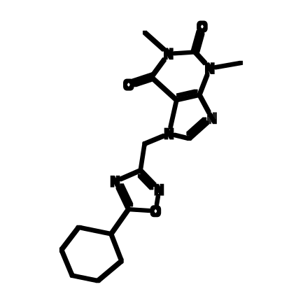 Cn1c(=O)c2c(ncn2Cc2noc(C3CCCCC3)n2)n(C)c1=O